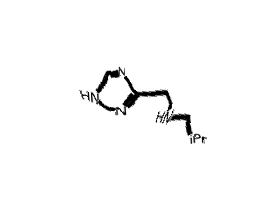 CC(C)CNCc1nc[nH]n1